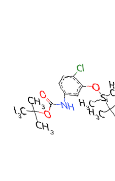 CC(C)(C)OC(=O)Nc1ccc(Cl)c(O[Si](C)(C)C(C)(C)C)c1